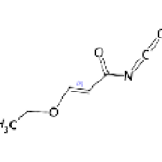 CCO/C=C/C(=O)N=C=O